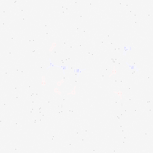 CCOc1ccc(C(Nc2ccc(C(=N)N)cc2)(OC(=O)C(F)(F)F)C(=O)NN2C(=O)c3ccccc3C2=O)cc1OCC